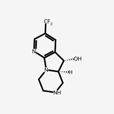 O[C@H]1c2cc(C(F)(F)F)cnc2N2CCNC[C@H]12